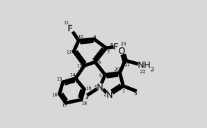 Cc1nn(C)c(-c2c(F)cc(F)cc2-c2ccccc2)c1C(N)=O